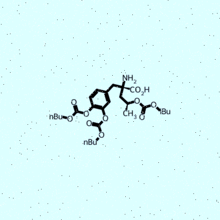 CCCCOC(=O)Oc1ccc(C[C@](N)(C[C@H](C)OC(=O)OC(C)CC)C(=O)O)cc1OC(=O)OCCCC